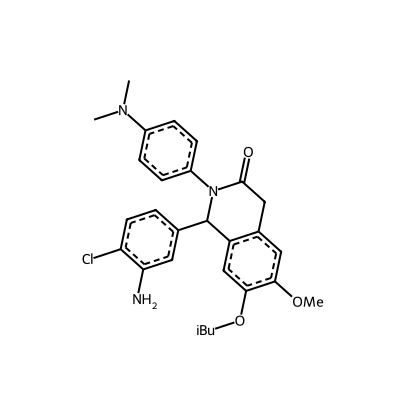 CCC(C)Oc1cc2c(cc1OC)CC(=O)N(c1ccc(N(C)C)cc1)C2c1ccc(Cl)c(N)c1